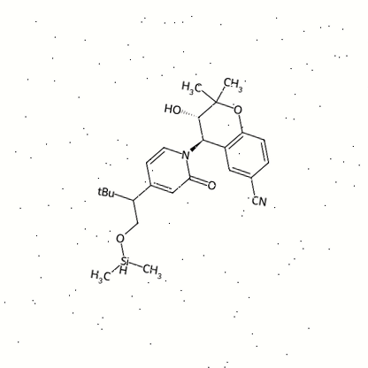 C[SiH](C)OCC(c1ccn([C@@H]2c3cc(C#N)ccc3OC(C)(C)[C@H]2O)c(=O)c1)C(C)(C)C